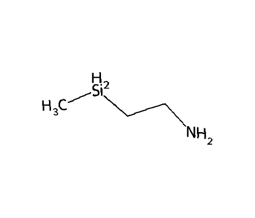 C[SiH2]CCN